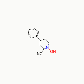 N#CC1CC(c2ccccc2)CCN1O